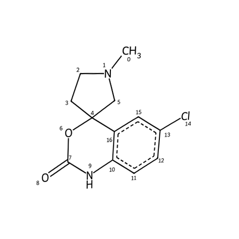 CN1CCC2(C1)OC(=O)Nc1ccc(Cl)cc12